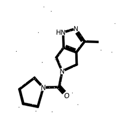 Cc1n[nH]c2c1CN(C(=O)N1CCCC1)C2